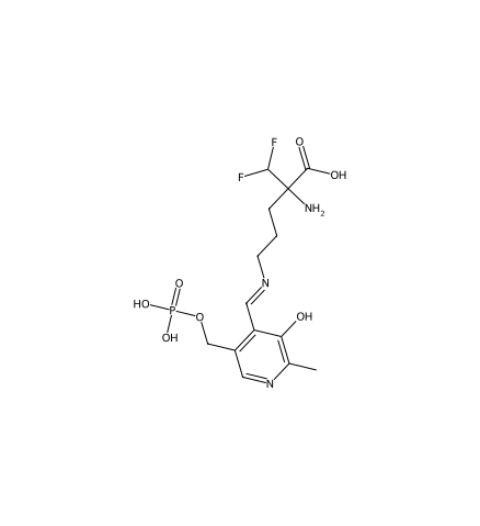 Cc1ncc(COP(=O)(O)O)c(/C=N/CCCC(N)(C(=O)O)C(F)F)c1O